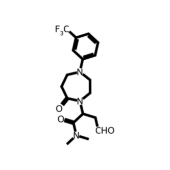 CN(C)C(=O)C(CC=O)N1CCN(c2cccc(C(F)(F)F)c2)CCC1=O